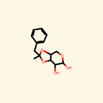 CC1(Cc2ccccc2)OC2COC(O)C(O)C2O1